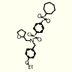 CCOc1ccc(CN(CC2CCCO2)S(=O)(=O)c2ccc(S(=O)(=O)C3CCCCCC3)cc2)cc1